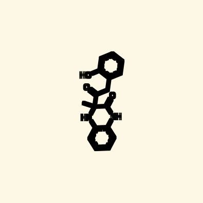 CC1(C(=O)Cc2ccccc2O)Nc2ccccc2NC1=O